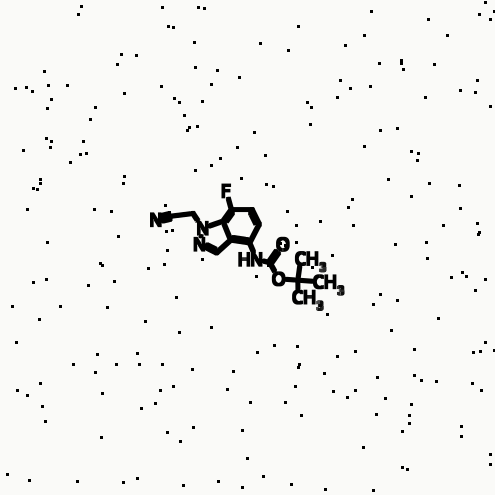 CC(C)(C)OC(=O)Nc1ccc(F)c2c1cnn2CC#N